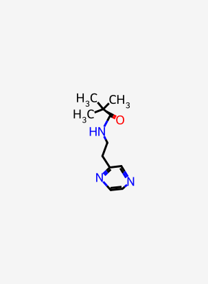 CC(C)(C)C(=O)NCCc1cnccn1